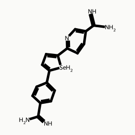 N=C(N)c1ccc(C2=CC=C(c3ccc(C(=N)N)cn3)[SeH2]2)cc1